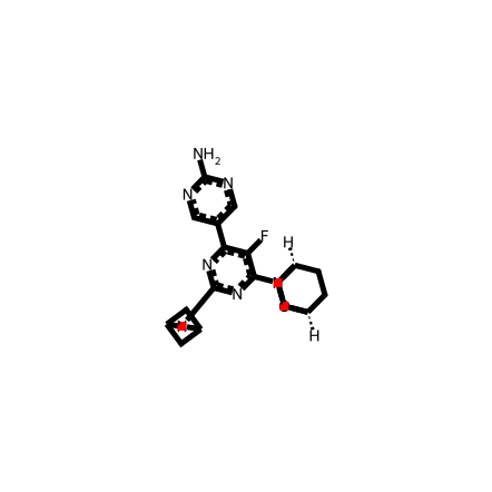 Nc1ncc(-c2nc(N3CC4CC3C4)nc(N3C[C@@H]4CC[C@H]3CO4)c2F)cn1